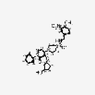 Cc1ccc(CN[S+]([O-])N2CCN(c3cnn(-c4ccccc4)c(=O)c3OC3CCC(O)C3)CC2)cc1[N+](=O)[O-]